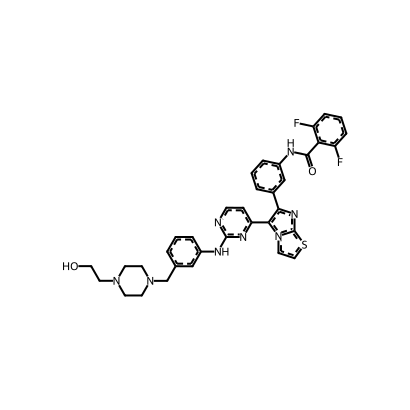 O=C(Nc1cccc(-c2nc3sccn3c2-c2ccnc(Nc3cccc(CN4CCN(CCO)CC4)c3)n2)c1)c1c(F)cccc1F